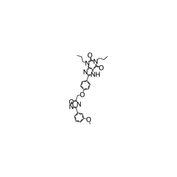 CCCn1c(=O)c2[nH]c(-c3ccc(OCc4nc(-c5cccc(OC)c5)no4)cc3)nc2n(CCC)c1=O